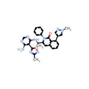 Cc1noc(-c2c(N)ncnc2NC(C)c2cc3cccc(-c4cnn(C)c4)c3c(=O)n2-c2ccccc2)n1